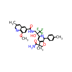 COc1cc(C(=O)NC[C@](O)(c2cc3c(c(-c4ccc(C)cc4)n2)OC[C@]3(C)C(N)=O)C(F)(F)F)cc2cc(C)cnc12